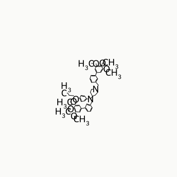 CCCCOc1ccc(N(Cc2cccc(-c3cc(OC)c(OC)c(OC)c3)c2)C2CCN(Cc3cccc(-c4cc(OC)c(OC)c(OC)c4)c3)CC2)cc1